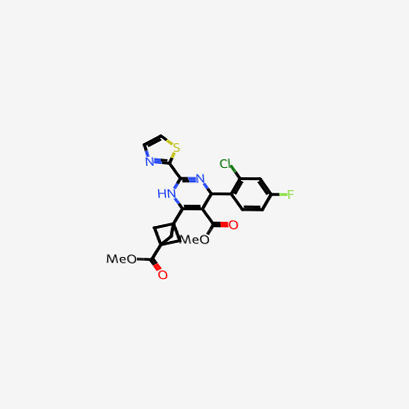 COC(=O)C1=C(C23CC(C(=O)OC)(C2)C3)NC(c2nccs2)=NC1c1ccc(F)cc1Cl